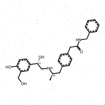 C[C@H](Cc1ccc(CC(=O)NCc2ccccc2)cc1)NC[C@@H](O)c1ccc(O)c(CO)c1